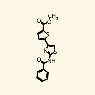 COC(=O)c1ccc(-c2csc(NC(=O)c3ccccc3)n2)s1